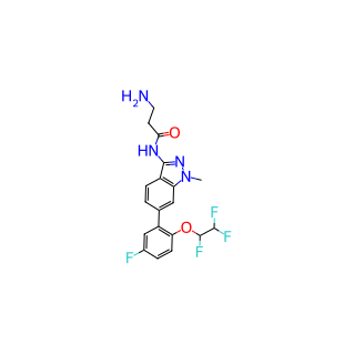 Cn1nc(NC(=O)CCN)c2ccc(-c3cc(F)ccc3OC(F)C(F)F)cc21